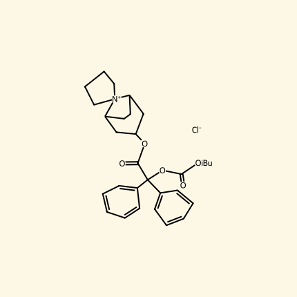 CC(C)COC(=O)OC(C(=O)OC1CC2CCC(C1)[N+]21CCCC1)(c1ccccc1)c1ccccc1.[Cl-]